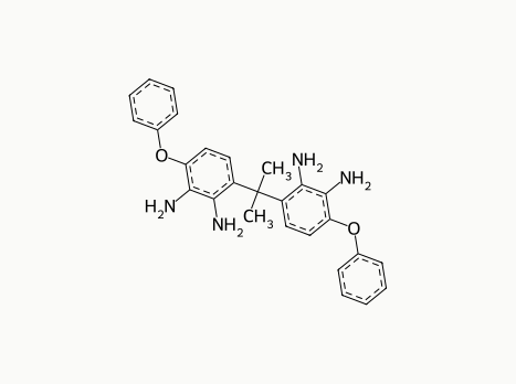 CC(C)(c1ccc(Oc2ccccc2)c(N)c1N)c1ccc(Oc2ccccc2)c(N)c1N